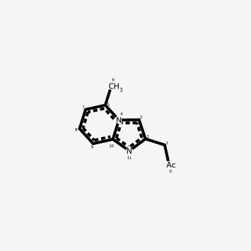 CC(=O)Cc1cn2c(C)cccc2n1